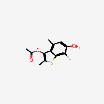 CC(=O)Oc1c(C)sc2c(F)c(O)cc(C)c12